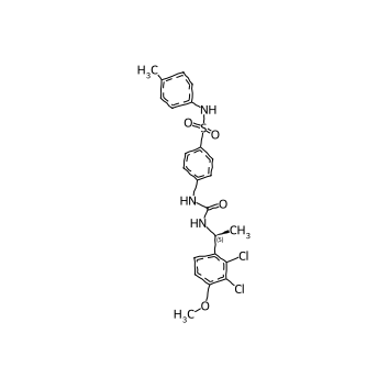 COc1ccc([C@H](C)NC(=O)Nc2ccc(S(=O)(=O)Nc3ccc(C)cc3)cc2)c(Cl)c1Cl